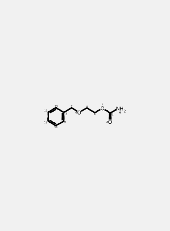 NC(=O)OCCOCc1ccccc1